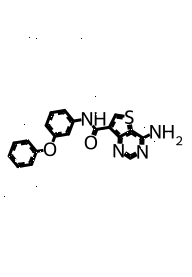 Nc1ncnc2c(C(=O)Nc3cccc(Oc4ccccc4)c3)csc12